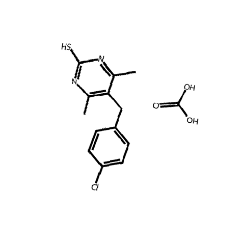 Cc1nc(S)nc(C)c1Cc1ccc(Cl)cc1.O=C(O)O